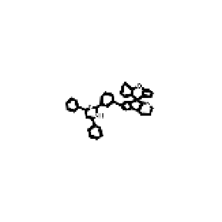 C1=CC2=C(NC1)C1(c3ccccc3Oc3ccccc31)c1cc(-c3cccc(C4N=C(c5ccccc5)C=C(c5ccccc5)N4)c3)ccc12